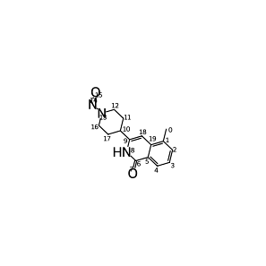 Cc1cccc2c(=O)[nH]c(C3CCN(N=O)CC3)cc12